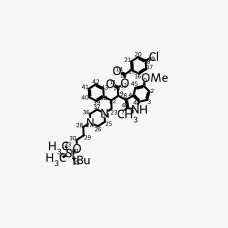 COc1ccc2[nH]c(C)c(C(C(=O)OC(=O)c3ccc(Cl)cc3)C(CN3CCN(CCCO[Si](C)(C)C(C)(C)C)CC3)c3ccccc3)c2c1